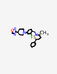 C[C@H]1CCC(c2ccccc2)SN1Cc1ccc(N2CCC(c3ncon3)CC2)cc1F